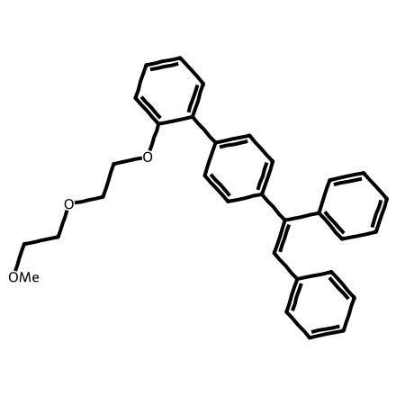 COCCOCCOc1ccccc1-c1ccc(C(=Cc2ccccc2)c2ccccc2)cc1